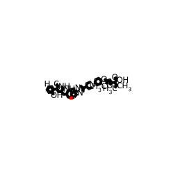 Cc1oc(C(C(=O)O)C(C)C)cc1OC1CCC(N2CCC(c3cnc(C45CC6CCC(CC7=C(N)NC(C)C(c8ccccc8O)=C7)CC(C4)C5C6)nc3)CC2)CC1